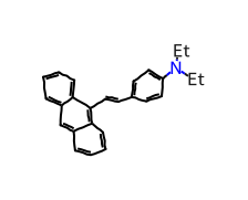 CCN(CC)c1ccc(/C=C/c2c3ccccc3cc3ccccc23)cc1